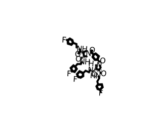 O=C(NCCc1ccc(F)cc1)[C@H]1CN(C(=O)c2ccc(C(=O)N3C[C@H](C(=O)NCCc4ccc(F)cc4)[C@@H](C(=O)NCCc4ccc(F)cc4)C3)cc2)C[C@@H]1C(=O)NCCc1ccc(F)cc1